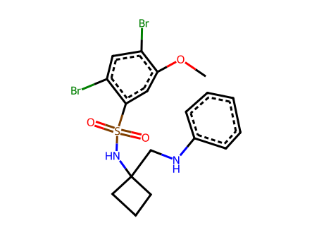 COc1cc(S(=O)(=O)NC2(CNc3ccccc3)CCC2)c(Br)cc1Br